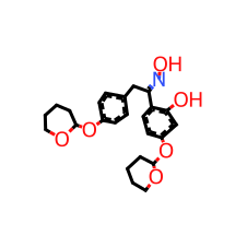 O/N=C(\Cc1ccc(OC2CCCCO2)cc1)c1ccc(OC2CCCCO2)cc1O